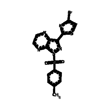 Cc1ccc(S(=O)(=O)n2nc(-c3nc(Br)cs3)c3nccnc32)cc1